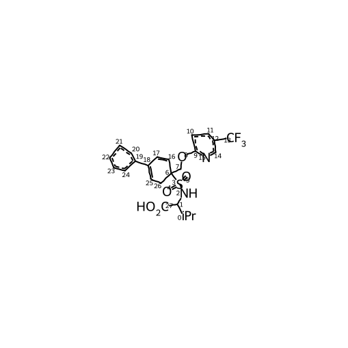 CC(C)C(NS(=O)(=O)C1(COc2ccc(C(F)(F)F)cn2)C=CC(c2ccccc2)=CC1)C(=O)O